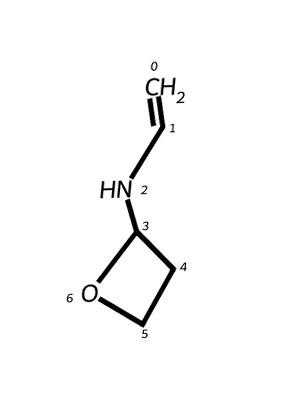 C=CNC1CCO1